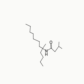 CCCCCCCC(C)(CCCC)NC(=O)CC(C)C